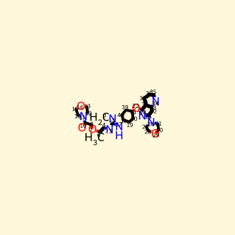 C=N/C(=N\C=C(/C)OCC(=O)N1CCOCC1)N[C@H]1CC[C@@H](Oc2nc(N3CCOCC3)cc3ncccc23)CC1